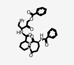 CC(C)CC(NC(=O)C1CCCN2C(=O)CC[C@H](NC(=O)c3ccccc3)C(=O)N12)C(=O)COC(=O)c1ccccc1